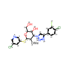 COC1C(Sc2cncc(Cl)c2)OC(CO)C(O)C1n1cc(-c2ccc(Cl)c(F)c2)nn1